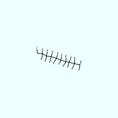 FC(F)C(F)(F)C(F)(F)C(F)(F)C(F)(F)C(F)(F)C(F)(F)C(F)(F)C(F)(F)CI